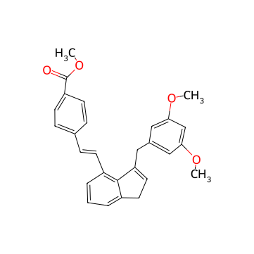 COC(=O)c1ccc(C=Cc2cccc3c2C(Cc2cc(OC)cc(OC)c2)=CC3)cc1